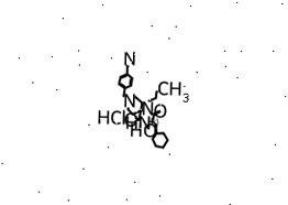 CCCCN1C(=O)[C@@H](CC2(O)CCCCC2)NC(=O)C12CCN(Cc1ccc(C#N)cc1)CC2.Cl